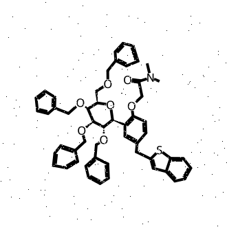 CN(C)C(=O)COc1ccc(Cc2cc3ccccc3s2)cc1[C@@H]1O[C@H](COCc2ccccc2)[C@@H](OCc2ccccc2)[C@H](OCc2ccccc2)[C@H]1OCc1ccccc1